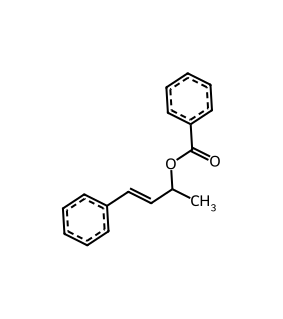 CC(C=Cc1ccccc1)OC(=O)c1ccccc1